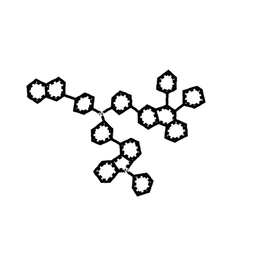 c1ccc(-c2c(-c3ccccc3)c3cc(-c4cccc(N(c5ccc(-c6ccc7ccccc7c6)cc5)c5cccc(-c6cccc7c6c6ccccc6n7-c6ccccc6)c5)c4)ccc3c3ccccc23)cc1